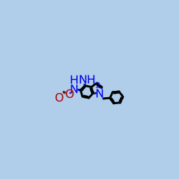 Nc1c(NOC=O)ccc2c1ccn2Cc1ccccc1